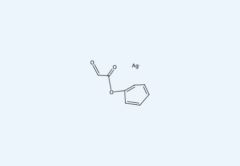 O=CC(=O)Oc1ccccc1.[Ag]